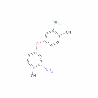 N#Cc1ccc(Oc2ccc(C#N)c(N)c2)cc1N